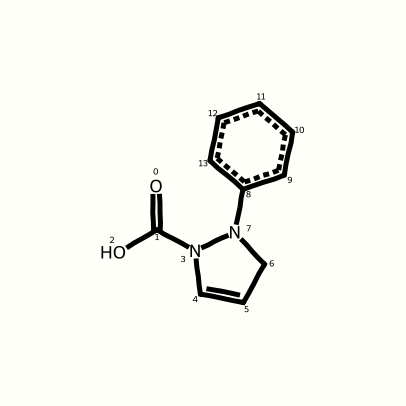 O=C(O)N1C=CCN1c1ccccc1